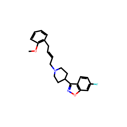 COc1ccc[c]c1CC=CCN1CCC(c2noc3cc(F)ccc23)CC1